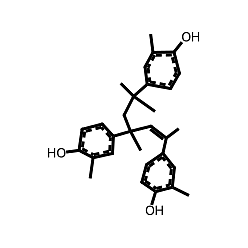 C/C(=C/C(C)(CC(C)(C)c1ccc(O)c(C)c1)c1ccc(O)c(C)c1)c1ccc(O)c(C)c1